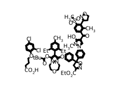 CCOC(=O)C1=NOC(c2ccccc2)(c2ccccc2)C1.CCc1cc(C)cc(CC)c1-c1c(OC(=O)C(C)(C)C)n2n(c1=O)CCOCC2.Cc1c(C(=O)c2cnn(C)c2O)ccc(S(C)(=O)=O)c1C1=NOCC1.O=C(O)CCCOc1ccc(Cl)cc1Cl